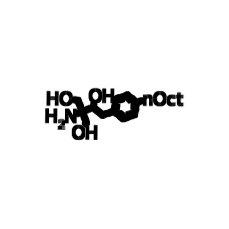 CCCCCCCCc1ccc(CC(O)C(N)(CO)CO)cc1